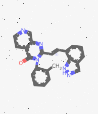 Cc1ccccc1-n1c(/C=C/c2cccc3cn[nH]c23)nc2cnccc2c1=O